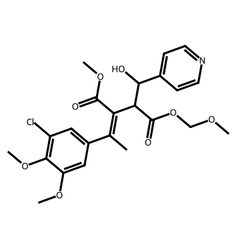 COCOC(=O)C(C(C(=O)OC)=C(C)c1cc(Cl)c(OC)c(OC)c1)C(O)c1ccncc1